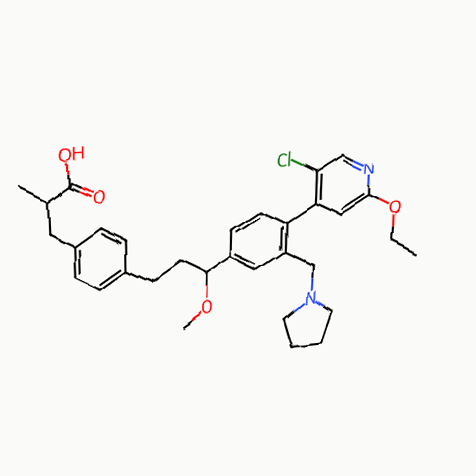 CCOc1cc(-c2ccc(C(CCc3ccc(CC(C)C(=O)O)cc3)OC)cc2CN2CCCC2)c(Cl)cn1